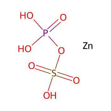 O=P(O)(O)OS(=O)(=O)O.[Zn]